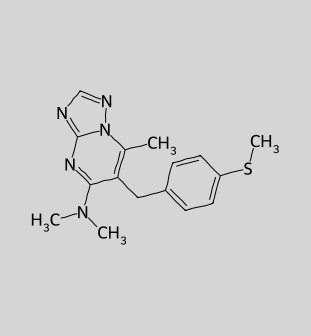 CSc1ccc(Cc2c(N(C)C)nc3ncnn3c2C)cc1